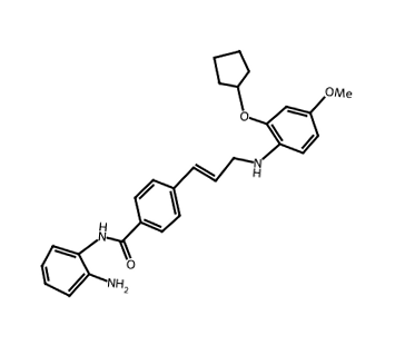 COc1ccc(NCC=Cc2ccc(C(=O)Nc3ccccc3N)cc2)c(OC2CCCC2)c1